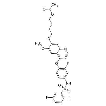 COc1cc2c(Oc3ccc(NS(=O)(=O)c4cc(F)ccc4F)cc3F)ccnc2cc1OCCCCOC(C)=O